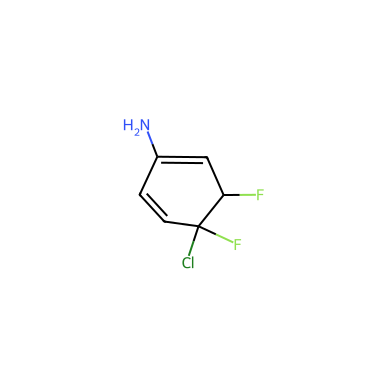 NC1=CC(F)C(F)(Cl)C=C1